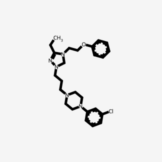 CCC1=NN(CCCN2CCN(c3cccc(Cl)c3)CC2)CN1CCOc1ccccc1